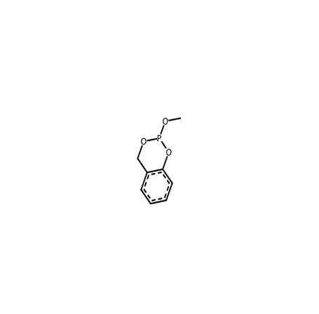 COP1OCc2ccccc2O1